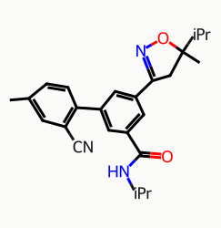 Cc1ccc(-c2cc(C(=O)NC(C)C)cc(C3=NOC(C)(C(C)C)C3)c2)c(C#N)c1